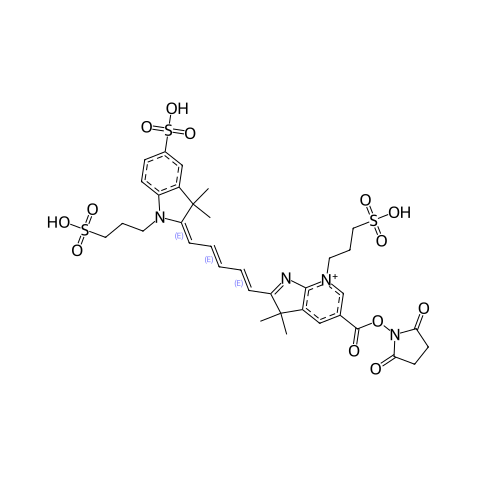 CC1(C)C(/C=C/C=C/C=C2/N(CCCS(=O)(=O)O)c3ccc(S(=O)(=O)O)cc3C2(C)C)=Nc2c1cc(C(=O)ON1C(=O)CCC1=O)c[n+]2CCCS(=O)(=O)O